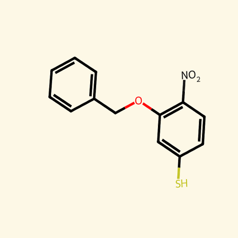 O=[N+]([O-])c1ccc(S)cc1OCc1ccccc1